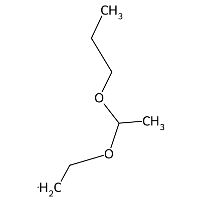 [CH2]COC(C)OCCC